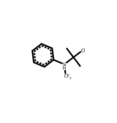 CC(C)(Cl)[SiH](c1ccccc1)C(F)(F)F